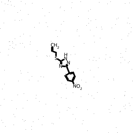 C=CCSc1nc(-c2ccc([N+](=O)[O-])cc2)n[nH]1